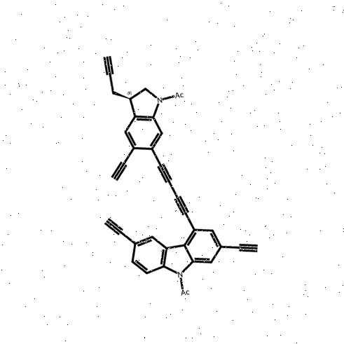 C#CC[C@H]1CN(C(C)=O)c2cc(C#CC#Cc3cc(C#C)cc4c3c3cc(C#C)ccc3n4C(C)=O)c(C#C)cc21